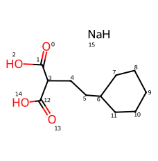 O=C(O)C(CCC1CCCCC1)C(=O)O.[NaH]